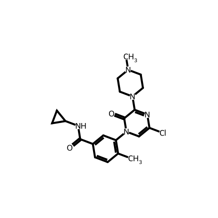 Cc1ccc(C(=O)NC2CC2)cc1-n1cc(Cl)nc(N2CCN(C)CC2)c1=O